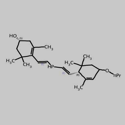 CCCOC1C=C(C)[C@H](/C=C/P/C=C/C2=C(C)C[C@@H](O)CC2(C)C)C(C)(C)C1